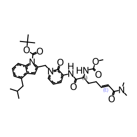 COC(=O)N[C@@H](CC/C=C/C(=O)N(C)C)C(=O)Nc1cccn(Cc2cc3c(CC(C)C)cccc3n2C(=O)OC(C)(C)C)c1=O